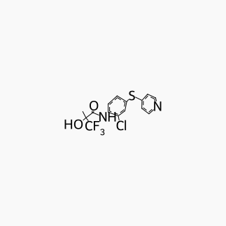 CC(O)(C(=O)Nc1ccc(Sc2ccncc2)cc1Cl)C(F)(F)F